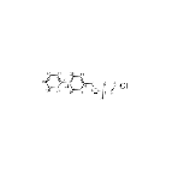 CC(C)(CCO)OCc1ccc(-c2ccccc2)cc1